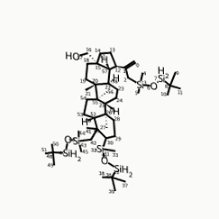 C=C(C[Si](C)(C)O[SiH2]C(C)(C)C)[C@@H]1CC[C@]2(CO)CC[C@]3(C)[C@H](CC[C@@H]4[C@@]5(C)CCC([Si](C)(C)O[SiH2]C(C)(C)C)C(C)(C[Si](C)(C)O[SiH2]C(C)(C)C)[C@@H]5CC[C@]43C)[C@@H]12